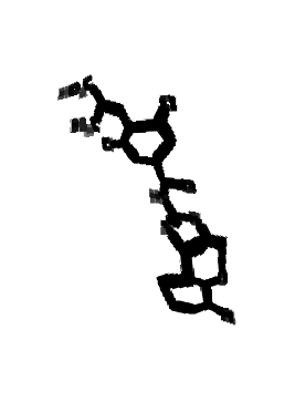 CCc1cccc2c1OCc1sc(NC(=O)c3cc(Cl)c(/C=C(\C)C(=O)O)c(Cl)c3)nc1-2